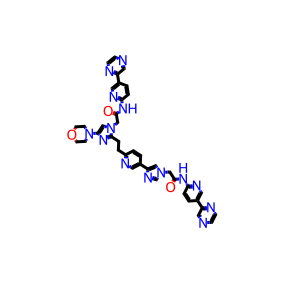 O=C(Cn1cnc(-c2ccc(CCc3nc(N4CCOCC4)cn3CC(=O)Nc3ccc(-c4cnccn4)cn3)nc2)c1)Nc1ccc(-c2cnccn2)cn1